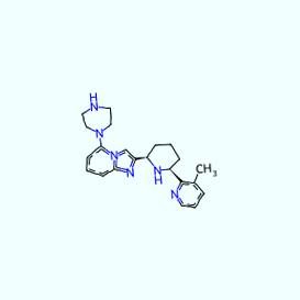 Cc1cccnc1[C@@H]1CCC[C@H](c2cn3c(N4CCNCC4)cccc3n2)N1